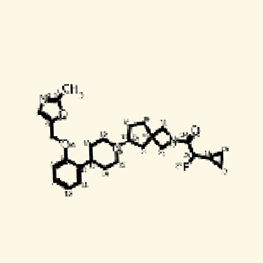 Cc1ncc(COc2ccccc2C2CCN([C@H]3CCC4(C3)CN(C(=O)C(F)C3CC3)C4)CC2)o1